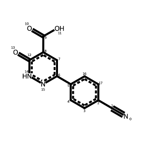 N#Cc1ccc(-c2cc(C(=O)O)c(=O)[nH]n2)cc1